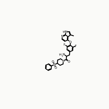 Cc1c[nH]c2nccc(Oc3c(F)cc(CC(N)C(=O)N4CCC(S(=O)(=O)c5ccccc5)CC4)cc3F)c12